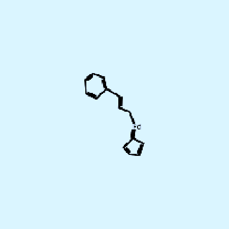 C1=C[C](=[Pd][CH2]C=Cc2ccccc2)C=C1